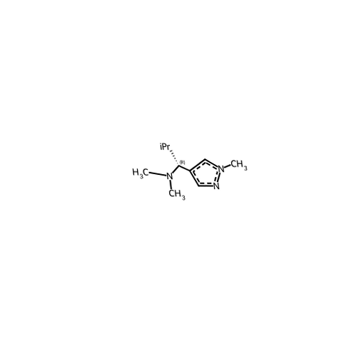 CC(C)[C@H](c1cnn(C)c1)N(C)C